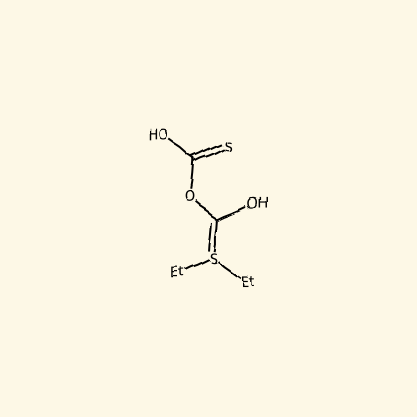 CCS(CC)=C(O)OC(O)=S